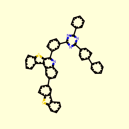 c1ccc(-c2ccc(-c3nc(-c4ccccc4)nc(-c4cccc(-c5nc6ccc(-c7ccc8sc9ccccc9c8c7)cc6c6c5sc5ccccc56)c4)n3)cc2)cc1